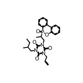 C=CCn1c(=O)n(CC(C)CC)c(=O)n(CC(C)P2(=O)Oc3ccccc3-c3ccccc32)c1=O